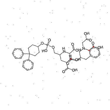 O=C(O)CN(CC(=O)O)CC(CNC(CC(COP(=O)(O)OC1CCC(c2ccccc2)(c2ccccc2)CC1)NC(C(=O)O)C(=O)O)C(=O)O)Cc1ccccc1